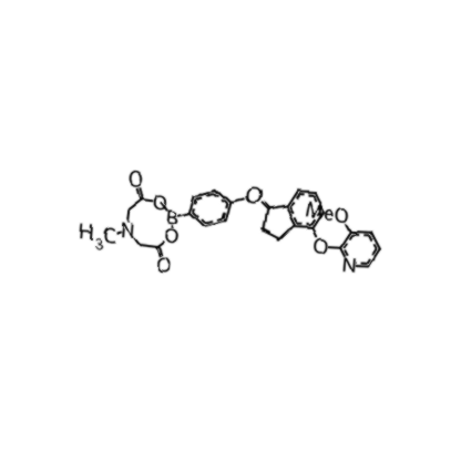 COc1cccnc1Oc1cccc2c1CCC2Oc1ccc(B2OC(=O)CN(C)CC(=O)O2)cc1